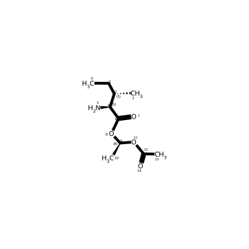 CC[C@H](C)[C@H](N)C(=O)O[C@H](C)OC(C)=O